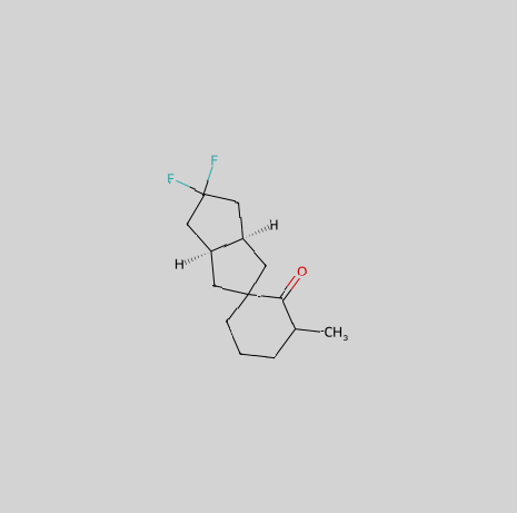 CC1CCCC2(C[C@H]3CC(F)(F)C[C@H]3C2)C1=O